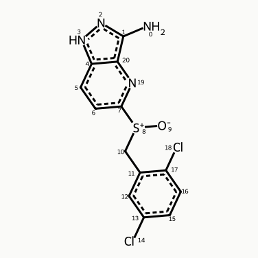 Nc1n[nH]c2ccc([S+]([O-])Cc3cc(Cl)ccc3Cl)nc12